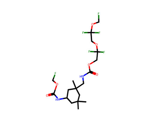 CC1(C)CC(NC(=O)OCF)CC(C)(CNC(=O)OCC(F)(F)OCC(F)(F)OCF)C1